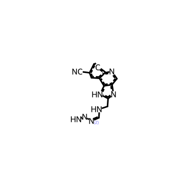 N#Cc1ccc2ncc3nc(CN/C=N\N=N)[nH]c3c2c1